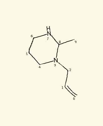 C=CCN1CCCNC1C